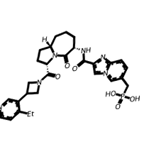 CCc1ccncc1C1CN(C(=O)[C@@H]2CC[C@@H]3CCC[C@H](NC(=O)c4cn5cc(CP(=O)(O)O)ccc5n4)C(=O)N32)C1